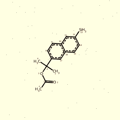 CC(=O)OC(C)(C)c1ccc2cc([SiH3])ccc2c1